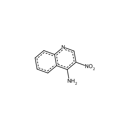 Nc1c([N+](=O)[O-])cnc2ccccc12